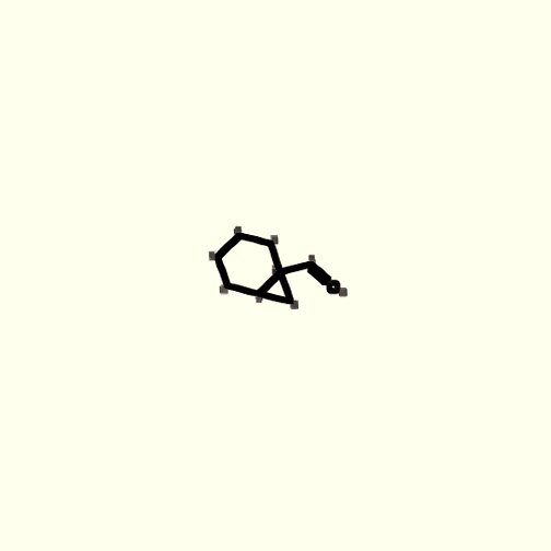 O=CC12CCCCC1C2